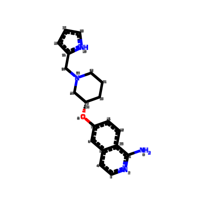 Nc1nccc2cc(O[C@H]3CCCN(Cc4ccc[nH]4)C3)ccc12